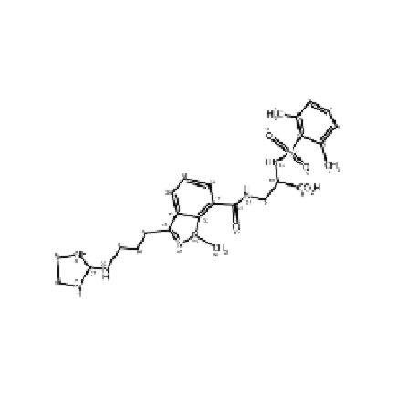 Cc1cccc(C)c1S(=O)(=O)NC(CNC(=O)c1cccc2c(CCCNC3NCCN3)nn(C)c12)C(=O)O